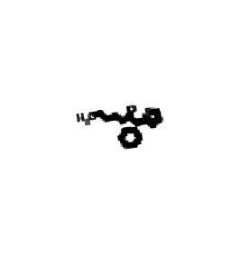 C1CCCCC1.CCCCCC(=O)Cc1cccs1